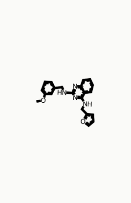 COc1cccc(CNc2nc(NCc3ccco3)c3ccccc3n2)c1